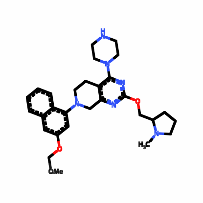 COCOc1cc(N2CCc3c(nc(OCC4CCCN4C)nc3N3CCNCC3)C2)c2ccccc2c1